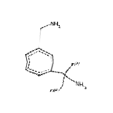 CCCC(N)(CCC)c1cccc(CN)c1